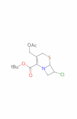 CC(=O)OCC1=C(C(=O)OC(C)(C)C)N2CC(Cl)C2SC1